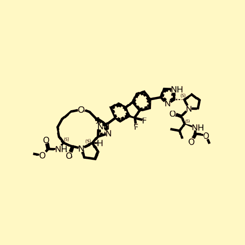 COC(=O)N[C@H]1CCCCOCc2[nH]c(nc2-c2ccc3c(c2)C(F)(F)c2cc(-c4c[nH]c([C@@H]5CCCN5C(=O)[C@@H](NC(=O)OC)C(C)C)n4)ccc2-3)[C@@H]2CCCN2C1=O